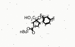 CCCCOC(=O)N1C[C@@H](c2ccc(F)cc2F)[C@](C)(C(=O)O)C1